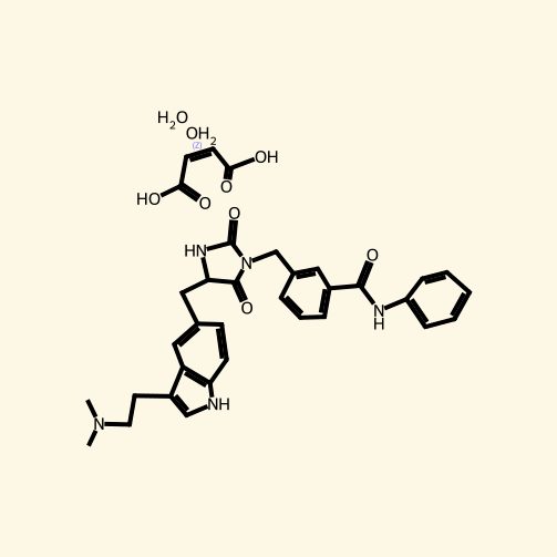 CN(C)CCc1c[nH]c2ccc(CC3NC(=O)N(Cc4cccc(C(=O)Nc5ccccc5)c4)C3=O)cc12.O.O.O=C(O)/C=C\C(=O)O